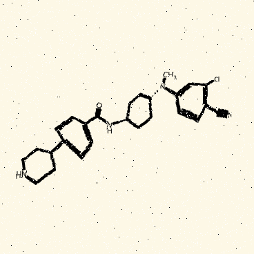 CN(c1ccc(C#N)c(Cl)c1)[C@H]1CC[C@H](NC(=O)c2ccc(C3CCNCC3)cc2)CC1